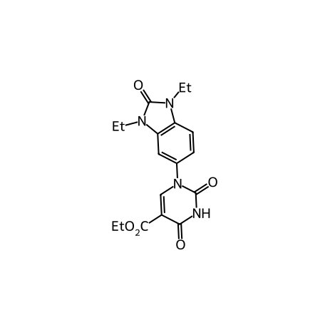 CCOC(=O)c1cn(-c2ccc3c(c2)n(CC)c(=O)n3CC)c(=O)[nH]c1=O